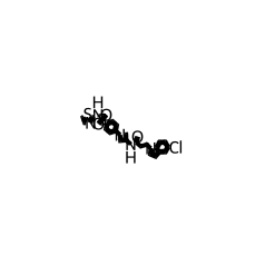 O=C(CCn1ccc2cc(Cl)ccc21)NC1CN(c2ccc(S(=O)(=O)Nc3nccs3)cc2)C1